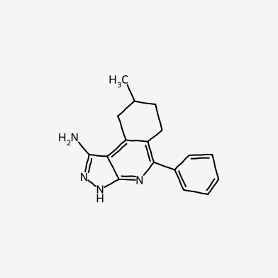 CC1CCc2c(-c3ccccc3)nc3[nH]nc(N)c3c2C1